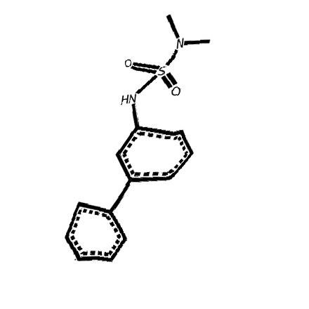 CN(C)S(=O)(=O)Nc1cccc(-c2cc[c]cc2)c1